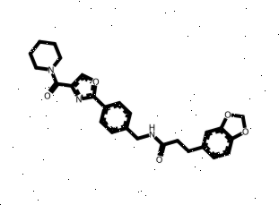 O=C(CCc1ccc2c(c1)OCO2)NCc1ccc(-c2nc(C(=O)N3CCCCC3)co2)cc1